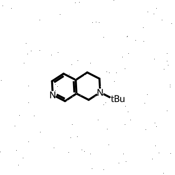 CC(C)(C)N1CCc2ccncc2C1